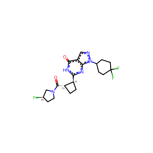 O=C([C@H]1CC[C@@H]1c1nc2c(cnn2C2CCC(F)(F)CC2)c(=O)[nH]1)N1CC[C@@H](F)C1